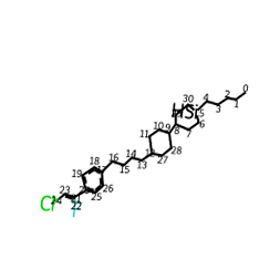 CCCCC[SiH]1CCC(C2CCC(CCCCc3ccc(C(F)=CCl)cc3)CC2)CC1